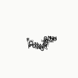 C[C@@H](C(=O)Nc1cnc(Oc2ccc(F)cc2F)cn1)N1CCN(C(=O)c2ccc(=O)[nH]n2)C(C)(C)C1